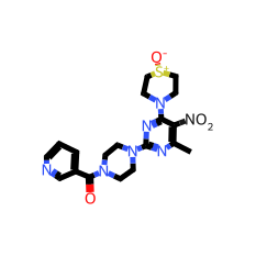 Cc1nc(N2CCN(C(=O)c3cccnc3)CC2)nc(N2CC[S+]([O-])CC2)c1[N+](=O)[O-]